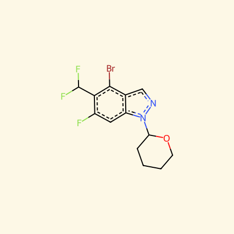 Fc1cc2c(cnn2C2CCCCO2)c(Br)c1C(F)F